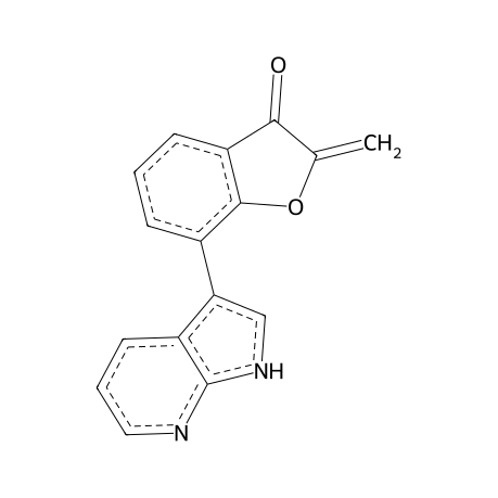 C=C1Oc2c(cccc2-c2c[nH]c3ncccc23)C1=O